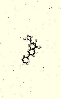 CN1CCC1c1nc2cc(-c3ccccn3)ccc2c(=O)n1C